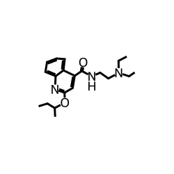 CCC(C)Oc1cc(C(=O)NCCN(CC)CC)c2ccccc2n1